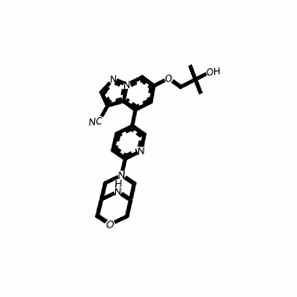 CC(C)(O)COc1cc(-c2ccc(N3CC4COCC(C3)N4)nc2)c2c(C#N)cnn2c1